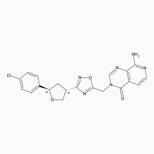 Nc1nccc2c(=O)n(Cc3nc([C@@H]4CO[C@@H](c5ccc(Cl)cc5)C4)no3)cnc12